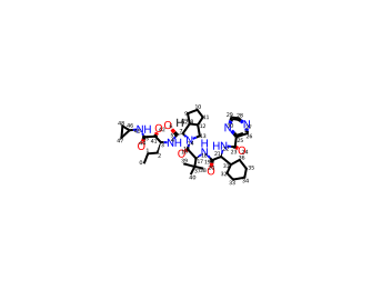 CCC[C@H](NC(=O)[C@@H]1[C@H]2CCCC2CN1C(=O)[C@@H](NC(=O)[C@@H](NC(=O)c1cnccn1)C1CCCCC1)C(C)(C)C)C(=O)C(=O)NC1CC1